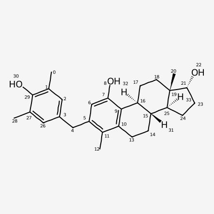 Cc1cc(Cc2cc(O)c3c(c2C)CC[C@@H]2[C@@H]3CC[C@]3(C)[C@H](O)CC[C@@H]23)cc(C)c1O